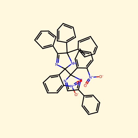 O=[N+]([O-])c1ccccc1C1(C2(c3ccccc3[N+](=O)[O-])N=C(c3ccccc3)C(c3ccccc3)(c3ccccc3)N2)N=CC(c2ccccc2)=N1